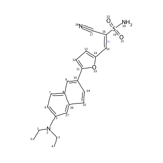 CCN(CC)c1ccc2cc(-c3ccc(/C=C(\C#N)S(N)(=O)=O)o3)ccc2c1